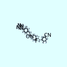 N#Cc1cccc(CCC2(F)CCN(C(=O)Cc3ccc(-n4cnnn4)cc3)CC2)c1